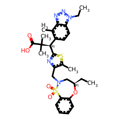 CC[C@@H]1CN(Cc2nc([C@H](c3ccc4c(nnn4CC)c3C)C(C)(C)C(=O)O)sc2C)S(=O)(=O)c2ccccc2O1